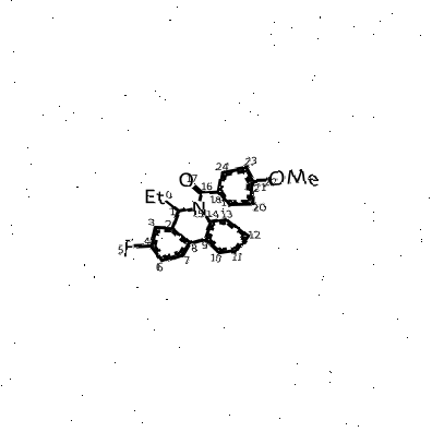 CCC1c2cc(F)ccc2-c2ccccc2N1C(=O)c1ccc(OC)cc1